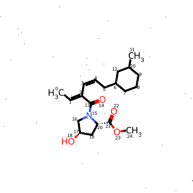 C/C=C(\C=C/CC1CCCC(C)C1)C(=O)N1C[C@H](O)C[C@H]1C(=O)OC